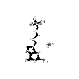 Nc1nc2c(ncn2COCOCP(=O)(O)O)c(=O)[nH]1.[Na].[Na]